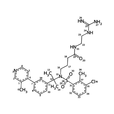 Cc1cnccc1-c1cccc(C(C)(C)N(CCCC(=O)NCCNC(=N)N)S(=O)(=O)c2cccc(Cl)c2C)c1